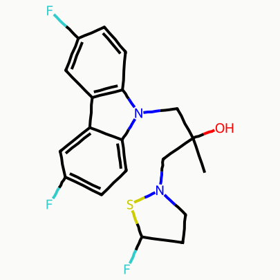 CC(O)(CN1CCC(F)S1)Cn1c2ccc(F)cc2c2cc(F)ccc21